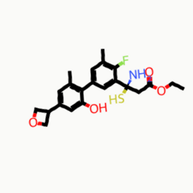 CCOC(=O)C[C@](N)(S)c1cc(-c2c(C)cc(C3COC3)cc2O)cc(C)c1F